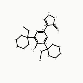 Oc1c(C2(CI)CCCCC2)cc(-c2cssc2=S)cc1C1(CI)CCCCC1